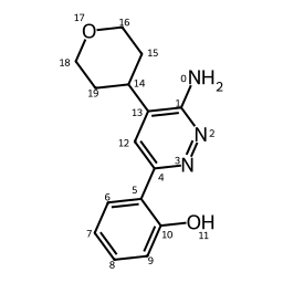 Nc1nnc(-c2ccccc2O)cc1C1CCOCC1